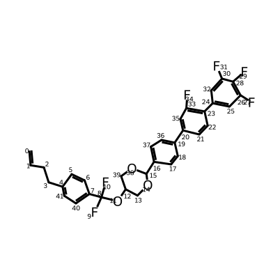 C=CCCc1ccc(C(F)(F)OC2COC(c3ccc(-c4ccc(-c5cc(F)c(F)c(F)c5)c(F)c4)cc3)OC2)cc1